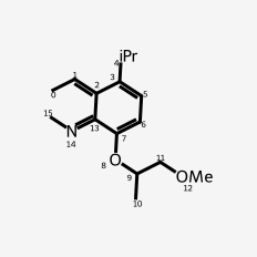 C/C=C1/C(C(C)C)=CC=C(OC(C)COC)/C1=N/C